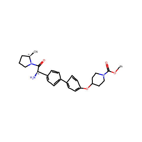 CC(C)OC(=O)N1CCC(Oc2ccc(-c3ccc([C@@H](N)C(=O)N4CCC[C@H]4C#N)cc3)cc2)CC1